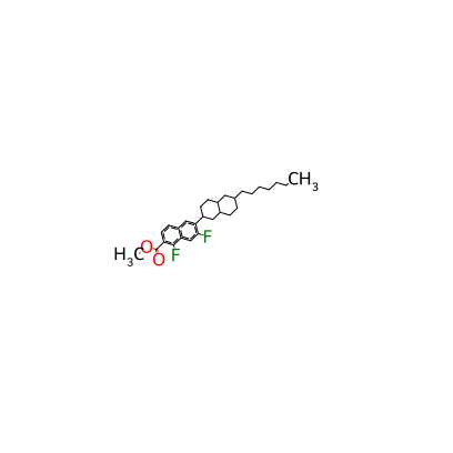 CCCCCCCC1CCC2CC(c3cc4ccc(C(=O)OC)c(F)c4cc3F)CCC2C1